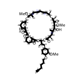 C#CCCCCO[C@H]1CC[C@@H](C[C@@H](C)[C@@H]2CC(=O)[C@H](C)/C=C(\C)[C@@H](O)[C@@H](OC)C(=O)[C@H](C)C[C@H](C)/C=C/C=C/C=C(\C)[C@@H](OC)C[C@@H]3CC[C@@H](C)[C@@](O)(O3)C(=O)C(=O)N3CCCC[C@H]3C(=O)O2)C[C@H]1OC